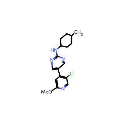 COc1cc(-c2cnc(NC3CCC(C)CC3)nc2)c(Cl)cn1